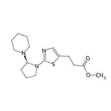 COC(=O)CCc1cnc(N2CCC[C@H]2N2CCCCC2)s1